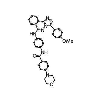 COc1ccc(-c2nnc3c4ccccc4c(Nc4ccc(NC(=O)c5ccc(N6CCOCC6)cc5)cc4)nn23)cc1